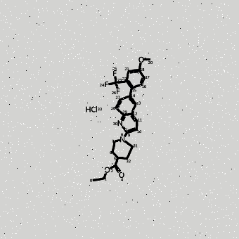 CCOC(=O)C1CCN(c2ccc3cc(-c4ccc(OC)cc4C(F)(F)F)ccc3n2)CC1.Cl